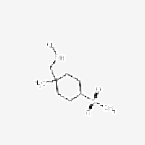 CC1(CNCl)CCC(S(C)(=O)=O)CC1